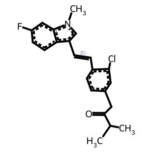 CC(C)C(=O)Cc1ccc(/C=C/c2cn(C)c3cc(F)ccc23)c(Cl)c1